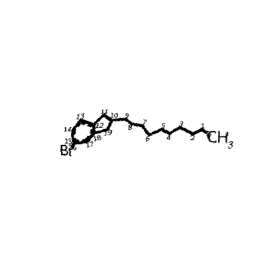 CCCCCCCCCCC1Cc2ccc(Br)cc2C1